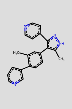 Cc1cc(-c2c(-c3ccncc3)n[nH]c2C)ccc1-c1cccnc1